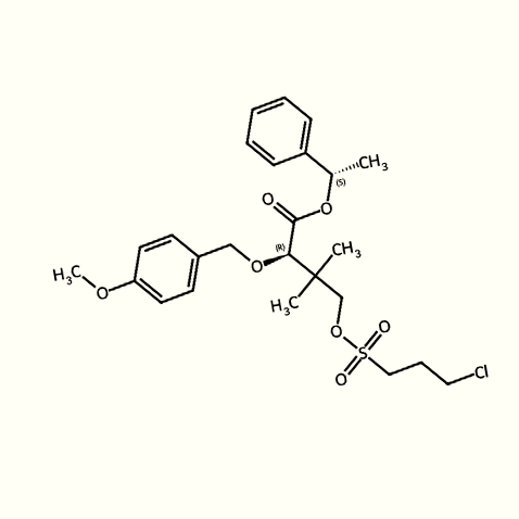 COc1ccc(CO[C@@H](C(=O)O[C@@H](C)c2ccccc2)C(C)(C)COS(=O)(=O)CCCCl)cc1